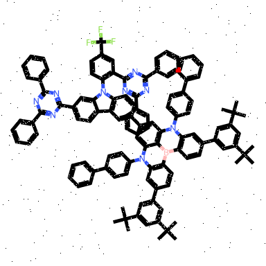 CC(C)(C)c1cc(-c2ccc3c(c2)N(c2ccc(-c4ccccc4)cc2)c2cc(-c4ccc5c(c4)c4ccc(-c6nc(-c7ccccc7)nc(-c7ccccc7)n6)cc4n5-c4ccc(C(F)(F)F)cc4-c4nc(-c5ccccc5)nc(-c5ccccc5)n4)cc4c2B3c2ccc(-c3cc(C(C)(C)C)cc(C(C)(C)C)c3)cc2N4c2ccc(-c3ccccc3)cc2)cc(C(C)(C)C)c1